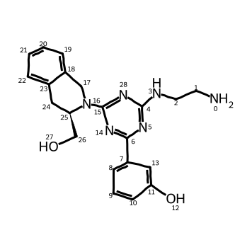 NCCNc1nc(-c2cccc(O)c2)nc(N2Cc3ccccc3C[C@@H]2CO)n1